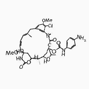 COc1cc2cc(c1Cl)N(C)C(=O)C[C@@]1(OC(=O)Nc3ccc(N)cc3)C[C@@H](OC1C)[C@H](C)[C@@H]1C[C@@](O)(NC(=O)O1)[C@H](OC)/C=C/C=C(\C)C2